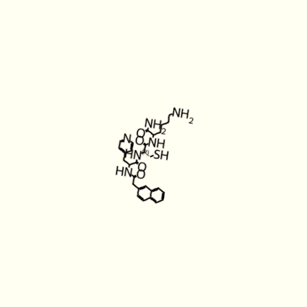 NCCCCC(NC(=O)[C@H](CS)NC(=O)C(Cc1ccncc1)NC(=O)Cc1ccc2ccccc2c1)C(N)=O